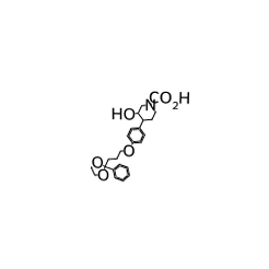 O=C(O)N1CCC(c2ccc(OCCCC3(c4ccccc4)OCCO3)cc2)C(O)C1